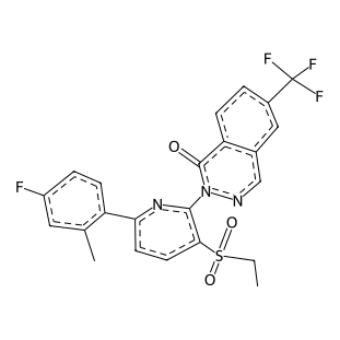 CCS(=O)(=O)c1ccc(-c2ccc(F)cc2C)nc1-n1ncc2cc(C(F)(F)F)ccc2c1=O